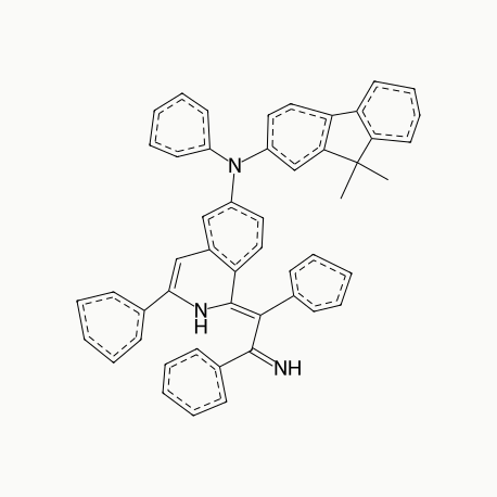 CC1(C)c2ccccc2-c2ccc(N(c3ccccc3)c3ccc4c(c3)C=C(c3ccccc3)N/C4=C(\C(=N)c3ccccc3)c3ccccc3)cc21